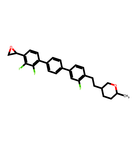 CC1CCC(CCc2ccc(-c3ccc(-c4ccc(C5CO5)c(F)c4F)cc3)cc2F)CO1